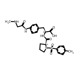 CNCC(=O)Nc1ccc(C[C@H](NC(=O)[C@@H]2CCCN2S(=O)(=O)c2ccc(C)cc2)C(=O)O)cc1